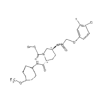 CC(C)(C)OC(=O)N1C[C@@H](NC(=O)COc2ccc(Cl)c(F)c2)CC[C@@H]1C(=O)NC1CCC(OC(F)(F)F)CC1